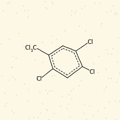 Clc1cc(Cl)c(C(Cl)(Cl)Cl)cc1Cl